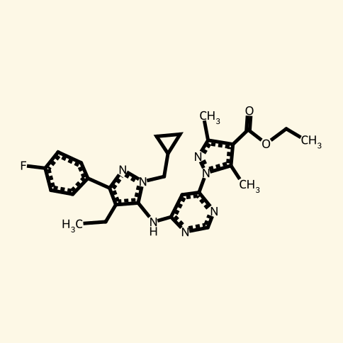 CCOC(=O)c1c(C)nn(-c2cc(Nc3c(CC)c(-c4ccc(F)cc4)nn3CC3CC3)ncn2)c1C